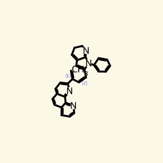 C/C=C(\C=C/c1cc2c(n1-c1ccccc1)=NCCC=2)c1ccc2ccc3cccnc3c2n1